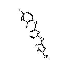 Fc1ccc(Oc2cccc(Oc3cc(C(F)(F)F)n[nH]3)n2)c(F)n1